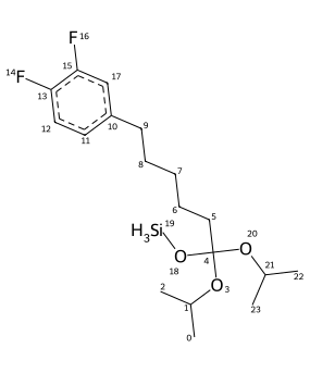 CC(C)OC(CCCCCc1ccc(F)c(F)c1)(O[SiH3])OC(C)C